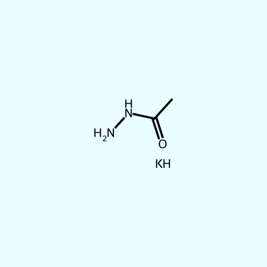 CC(=O)NN.[KH]